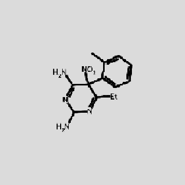 CCC1=NC(N)N=C(N)C1(c1ccccc1C)[N+](=O)[O-]